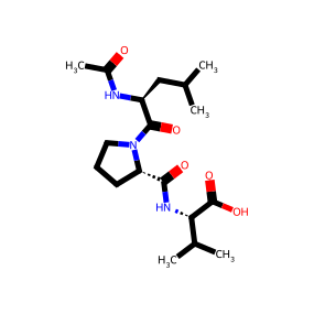 CC(=O)N[C@@H](CC(C)C)C(=O)N1CCC[C@H]1C(=O)N[C@H](C(=O)O)C(C)C